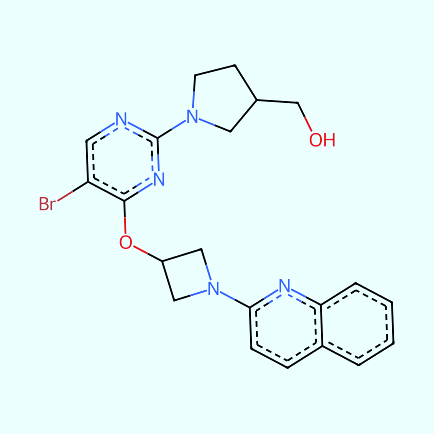 OCC1CCN(c2ncc(Br)c(OC3CN(c4ccc5ccccc5n4)C3)n2)C1